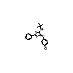 CC(C)(C)NC1=NC(c2ccccc2)=N/C1=N\c1ccc(Cl)cc1